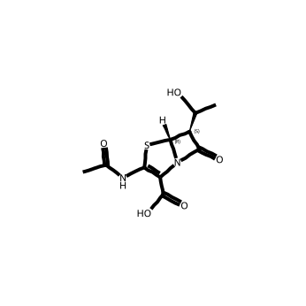 CC(=O)NC1=C(C(=O)O)N2C(=O)[C@H](C(C)O)[C@H]2S1